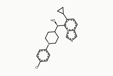 O[C@@H](c1c(C2CC2)ccc2cncn12)C1CCN(c2ccc(Cl)cc2)CC1